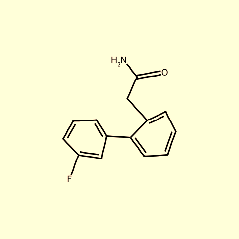 NC(=O)Cc1ccccc1-c1cccc(F)c1